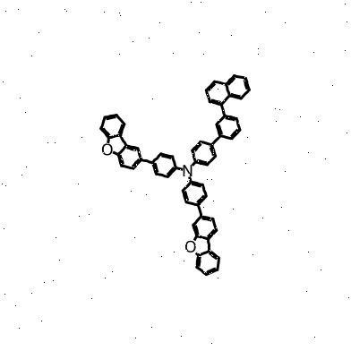 c1cc(-c2ccc(N(c3ccc(-c4ccc5c(c4)oc4ccccc45)cc3)c3ccc(-c4ccc5oc6ccccc6c5c4)cc3)cc2)cc(-c2cccc3ccccc23)c1